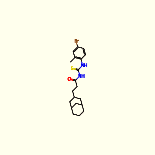 Cc1cc(Br)ccc1NC(=S)NC(=O)CCC1CC2CCCC(C2)C1